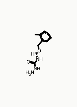 Cc1ccccc1CONNC(=O)NN